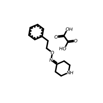 O=C(O)C(=O)O.c1ccc(CCON=C2CCNCC2)cc1